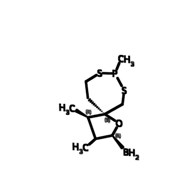 B[C@@H]1O[C@@]2(CCSP(C)SC2)[C@H](C)C1C